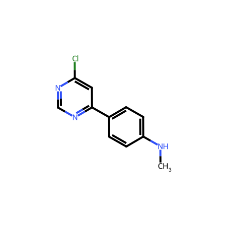 CNc1ccc(-c2cc(Cl)ncn2)cc1